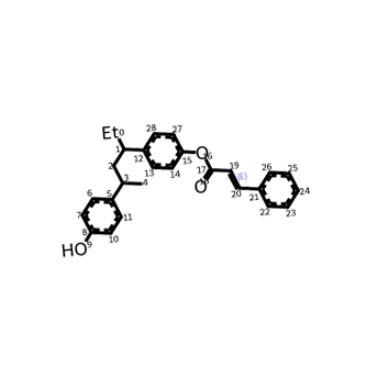 CCC(CC(C)c1ccc(O)cc1)c1ccc(OC(=O)/C=C/c2ccccc2)cc1